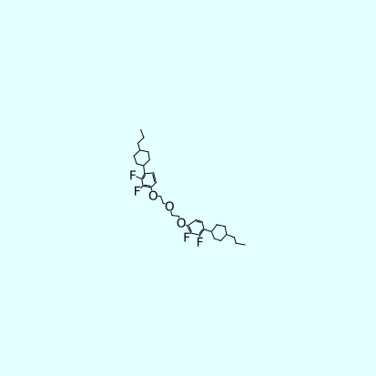 CCCC1CCC(c2ccc(OCCOCCOc3ccc(C4CCC(CCC)CC4)c(F)c3F)c(F)c2F)CC1